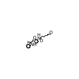 O=C/C=C/CCCC(=O)Nc1cccn(Cc2nc3ccccc3[nH]2)c1=O